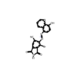 CCN1C(=O)c2cc(C#N)c(/N=N/c3ccc(O)c4ncccc34)c(Br)c2C1=O